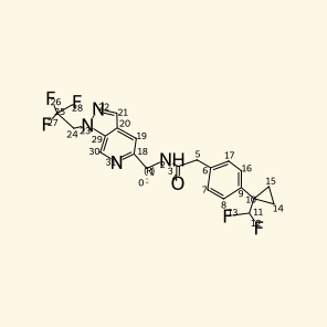 C[C@@H](NC(=O)Cc1ccc(C2(C(F)F)CC2)cc1)c1cc2cnn(CC(F)(F)F)c2cn1